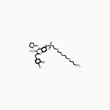 CCCCOCCOCCOCCS(=O)(=O)Nc1cccc([C@@H](CN2CCCC2)N(C)C(=O)Cc2ccc(Cl)c(Cl)c2)c1